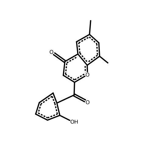 Cc1cc(C)c2oc(C(=O)c3ccccc3O)cc(=O)c2c1